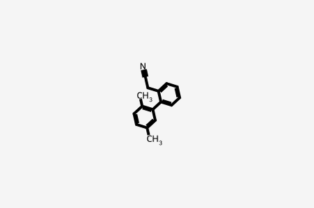 Cc1ccc(C)c(-c2ccccc2CC#N)c1